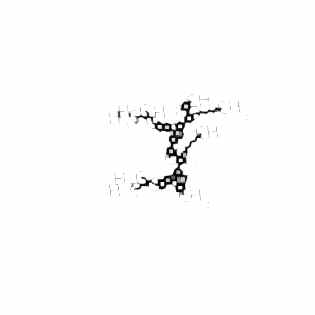 CCCCCCCCOc1ccc(-c2ccc3c(c2)CCc2cc(-c4ccc(C)c(-c5cc(-c6ccc7c(c6)CCc6cc(C)ccc6N7c6ccc7cc(OCC(CC)CCCC)ccc7c6)ccc5OCCCCCCCC)c4)ccc2N3c2ccc3cc(OCC(CC)CCCC)ccc3c2)cc1-c1cc(C)ccc1C